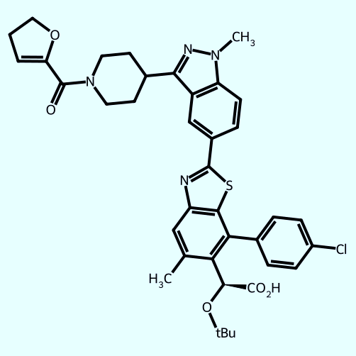 Cc1cc2nc(-c3ccc4c(c3)c(C3CCN(C(=O)C5=CCCO5)CC3)nn4C)sc2c(-c2ccc(Cl)cc2)c1[C@H](OC(C)(C)C)C(=O)O